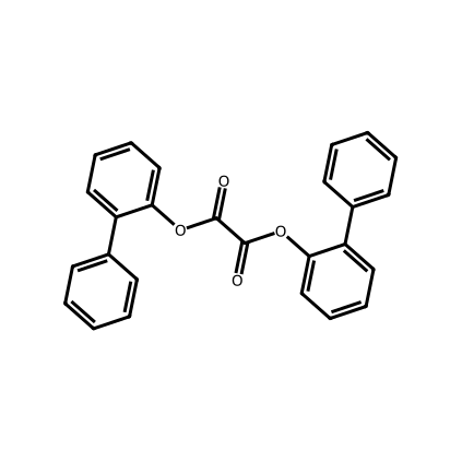 O=C(Oc1ccccc1-c1ccccc1)C(=O)Oc1ccccc1-c1ccccc1